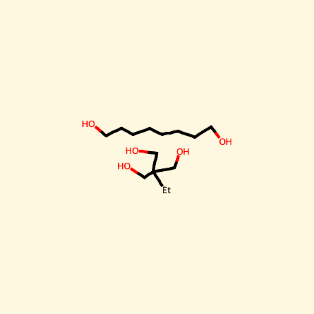 CCC(CO)(CO)CO.OCCCCCCCCO